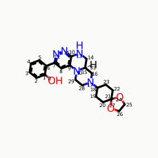 Oc1ccccc1-c1cc2c(nn1)NC[C@H]1CN(C3CCC4(CC3)OCCO4)CCN21